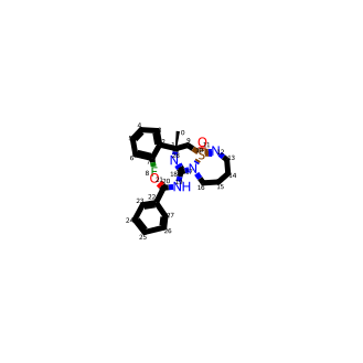 C[C@@]1(c2ccccc2F)CS2(=O)=NCCCCN2C(NC(=O)c2ccccc2)=N1